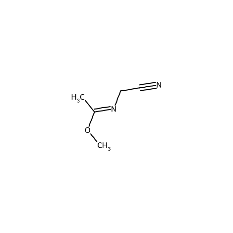 COC(C)=NCC#N